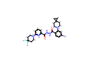 O=C(NNC(=O)c1ccc(I)cc1N1CCC2(CC1)CC2)c1cccc(N2CCC(F)(F)CC2)n1